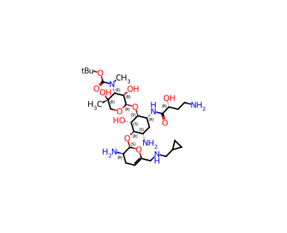 CN(C(=O)OC(C)(C)C)[C@@H]1[C@@H](O)[C@@H](O[C@@H]2[C@@H](O)[C@H](O[C@H]3OC(CNCC4CC4)=CC[C@H]3N)[C@@H](N)C[C@H]2NC(=O)[C@H](O)CCN)OC[C@]1(C)O